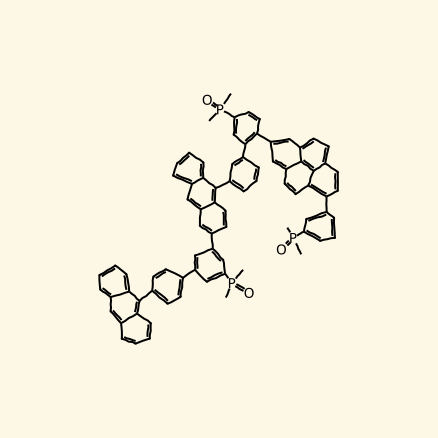 CP(C)(=O)c1cc(-c2ccc(-c3c4ccccc4cc4ccccc34)cc2)cc(-c2ccc3c(-c4cccc(-c5cc(P(C)(C)=O)ccc5-c5cc6ccc7ccc(-c8cccc(P(C)(C)=O)c8)c8ccc(c5)c6c78)c4)c4ccccc4cc3c2)c1